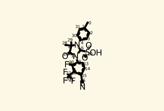 Cc1ccc(N2C(S(=O)(=O)O)N(c3ccc(C#N)c(C(F)(F)F)c3F)C(=O)C2(C)C)cc1